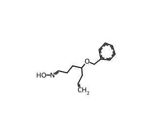 C=CCC(CCC=NO)OCc1ccccc1